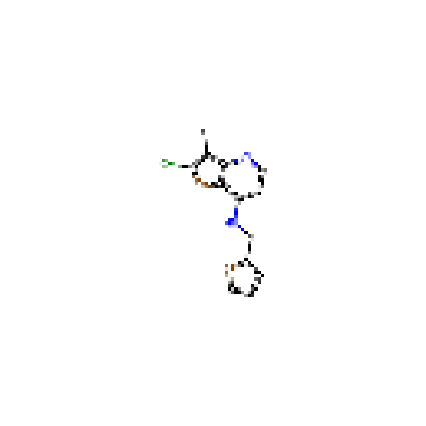 Cc1c(Cl)sc2c(NCc3cccs3)ccnc12